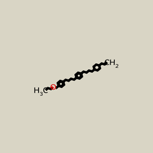 C=CCC1CCC(CCCCc2ccc(CCCCc3ccc(COCCC)cc3)cc2)CC1